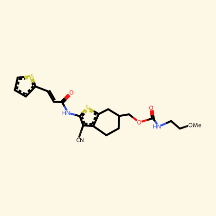 COCCNC(=O)OCC1CCc2c(sc(NC(=O)C=Cc3cccs3)c2C#N)C1